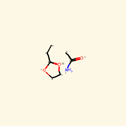 CC(N)=O.CCC1OCCO1